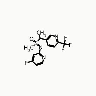 CC(c1ccc(C(F)(F)F)nc1)S(C)(=O)=Nc1cc(F)ccn1